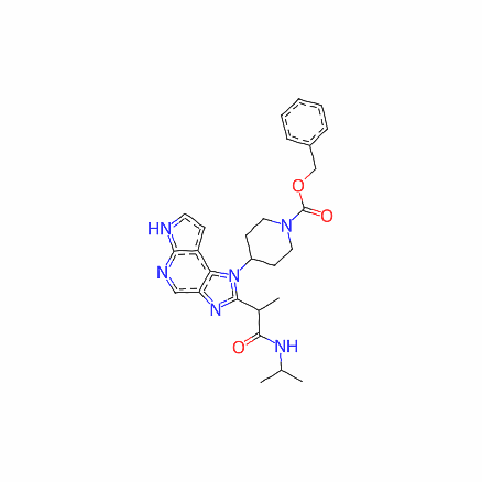 CC(C)NC(=O)C(C)c1nc2cnc3[nH]ccc3c2n1C1CCN(C(=O)OCc2ccccc2)CC1